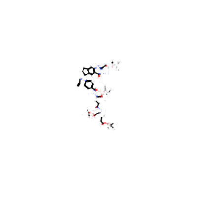 C#CCN(c1ccc(C(=O)N[C@@H](CCC(=O)N[C@H](CCC(=O)O[Si](C)(C)C)C(=O)O[Si](C)(C)C)C(=O)O[Si](C)(C)C)cc1)[C@H]1CCc2cc3nc(CO[Si](C)(C)C)[nH]c(=O)c3cc21